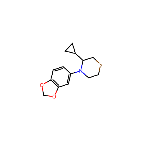 [CH]1CN(c2ccc3c(c2)OCO3)C(C2CC2)CS1